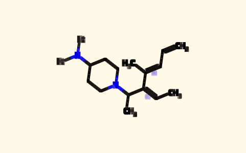 C=C/C=C(C)/C(=C\C)C(C)N1CCC(N(CC)CC)CC1